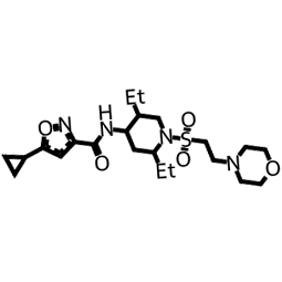 CCC1CN(S(=O)(=O)CCN2CCOCC2)C(CC)CC1NC(=O)c1cc(C2CC2)on1